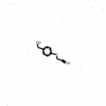 C#CCSc1ccc(CO)cc1